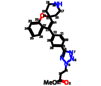 COC(=O)CCn1nnc(-c2ccc(C3=CC4(CCNCC4)Oc4ccccc43)cc2)n1